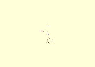 CN(C)C[C@@H]1CN(Cc2cc(F)cc(F)c2F)CCN1